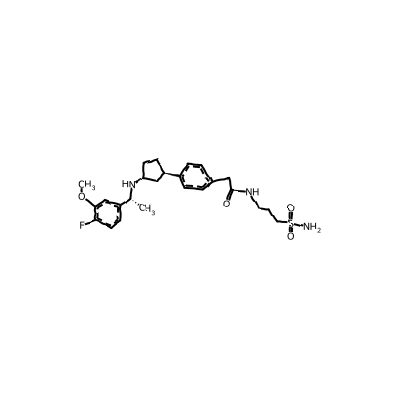 COc1cc([C@@H](C)N[C@H]2CC[C@@H](c3ccc(CC(=O)NCCCS(N)(=O)=O)cc3)C2)ccc1F